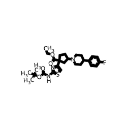 CCOC(=O)C1(c2csc(NC(=O)OC(C)(C)C)n2)CCC(N2CCC(c3ccc(F)cc3)CC2)C1